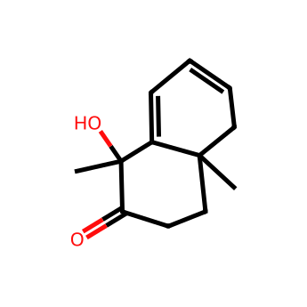 CC12CC=CC=C1C(C)(O)C(=O)CC2